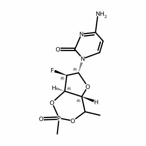 CC1OP(C)(=O)O[C@H]2[C@@H](F)[C@H](n3ccc(N)nc3=O)O[C@H]12